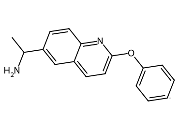 CC(N)c1ccc2nc(Oc3cc[c]cc3)ccc2c1